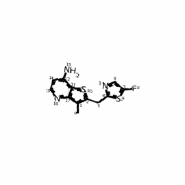 Cc1c(Cc2ncc(F)s2)sc2c(N)ccnc12